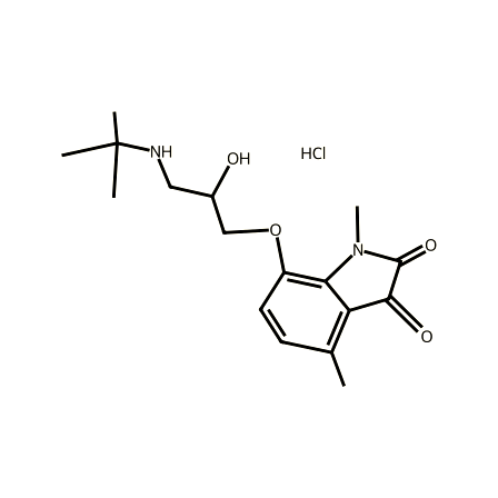 Cc1ccc(OCC(O)CNC(C)(C)C)c2c1C(=O)C(=O)N2C.Cl